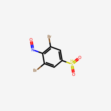 O=Nc1c(Br)cc([SH](=O)=O)cc1Br